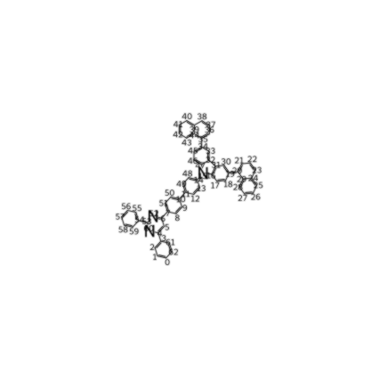 c1ccc(-c2cc(-c3ccc(-c4ccc(-n5c6ccc(-c7cccc8ccccc78)cc6c6cc(-c7cccc8ccccc78)ccc65)cc4)cc3)nc(-c3ccccc3)n2)cc1